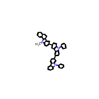 Cn1c2ccc(-c3ccc4c(c3)c3cc(-c5ccc6c7ccccc7n(-c7ccccc7)c6c5)ccc3n4-c3ccccc3)cc2c2ccc3ccccc3c21